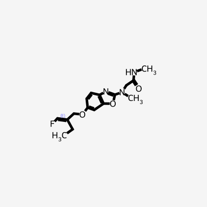 CC/C(=C\F)COc1ccc2nc(N(C)CC(=O)NC)oc2c1